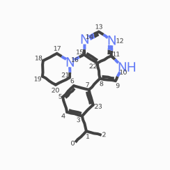 CC(C)c1cccc(-c2c[nH]c3ncnc(N4CCCCC4)c23)c1